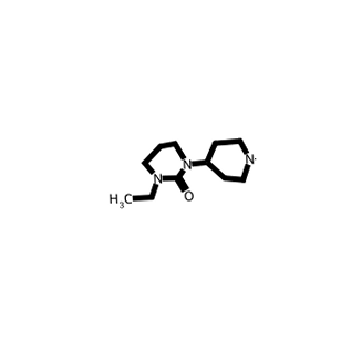 CCN1CCCN(C2CC[N]CC2)C1=O